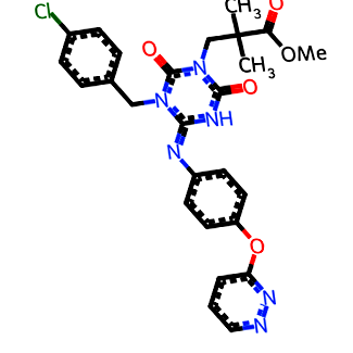 COC(=O)C(C)(C)Cn1c(=O)[nH]/c(=N\c2ccc(Oc3cccnn3)cc2)n(Cc2ccc(Cl)cc2)c1=O